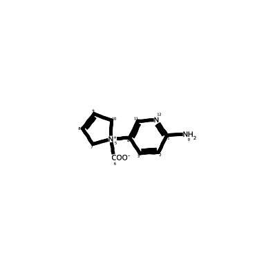 Nc1ccc([N+]2(C(=O)[O-])CC=CC2)cn1